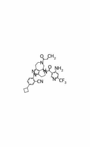 C=CC(=O)N1CCc2nn(-c3ccc(C4CCC4)cc3C#N)c3c2[C@H](C1)N(C(=O)c1cnc(C(F)(F)F)cc1N)CC3